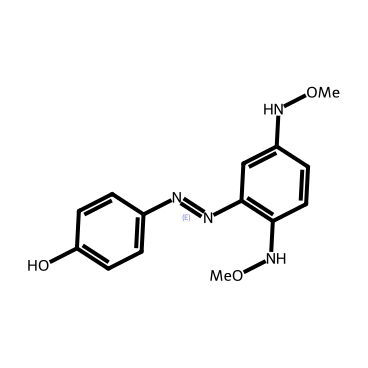 CONc1ccc(NOC)c(/N=N/c2ccc(O)cc2)c1